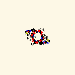 CC(C)C[C@H]1C(=O)O[C@H](Cc2ccc(Cn3cc(-c4nccs4)cn3)cc2)C(=O)N(C)[C@@H](CC(C)C)C(=O)O[C@H](C)C(=O)N(C)[C@@H](CC(C)C)C(=O)O[C@H](Cc2ccc(Cn3cc(-c4nccs4)cn3)cc2)C(=O)N(C)[C@@H](CC(C)C)C(=O)O[C@H](C)C(=O)N1C